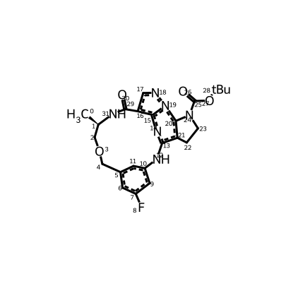 C[C@@H]1COCc2cc(F)cc(c2)Nc2nc3c(cnn3c3c2CCN3C(=O)OC(C)(C)C)C(=O)N1